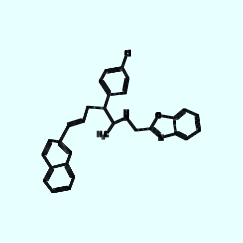 CC(NCc1nc2ccccc2o1)C(CC=Cc1ccc2ccccc2c1)c1ccc(Cl)cc1